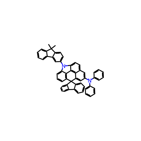 CC1(C)c2ccccc2-c2cc(-n3c4cccc5c4c4c6c(cc(N(c7ccccc7)c7ccccc7)cc6ccc43)C53c4ccccc4-c4ccccc43)ccc21